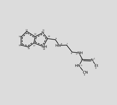 CC/N=C(\NC#N)NCCNCc1nc2ccccc2[nH]1